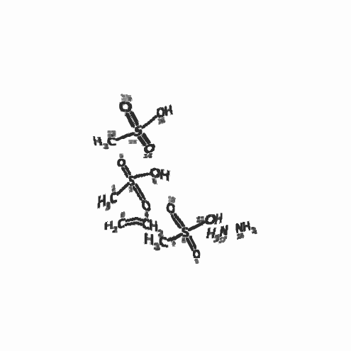 C=C.CS(=O)(=O)O.CS(=O)(=O)O.CS(=O)(=O)O.N.N